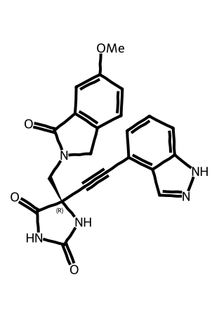 COc1ccc2c(c1)C(=O)N(C[C@@]1(C#Cc3cccc4[nH]ncc34)NC(=O)NC1=O)C2